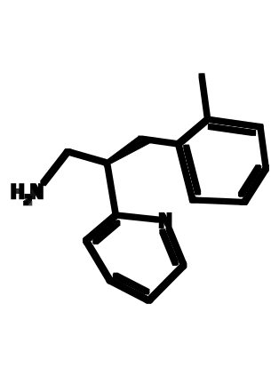 Cc1ccccc1C[C@H](CN)c1ccccn1